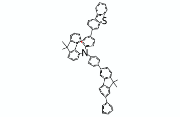 CC1(C)c2ccc(-c3ccc(N(c4ccc(-c5ccc6c(c5)sc5ccccc56)cc4)c4cccc5c4-c4ccccc4C5(C)C)cc3)cc2-c2ccc(-c3ccccc3)cc21